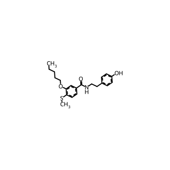 CCCCCOc1cc(C(=O)NCCc2ccc(O)cc2)ccc1SC